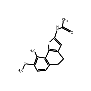 COc1ccc2c(c1C)-c1sc(NC(C)=O)cc1CC2